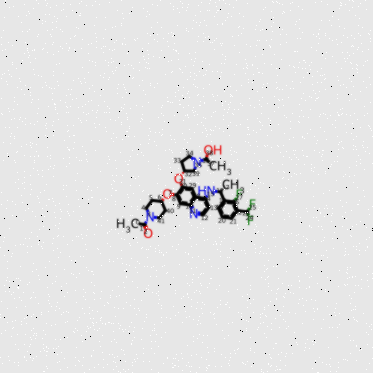 CC(=O)N1CCC(Oc2cc3nccc(N[C@H](C)c4cccc(C(F)F)c4F)c3cc2O[C@H]2CCN(C(C)O)C2)CC1